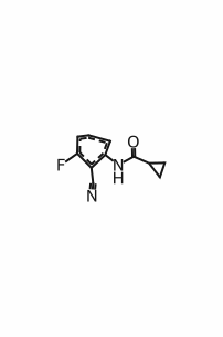 N#Cc1c(F)cccc1NC(=O)C1CC1